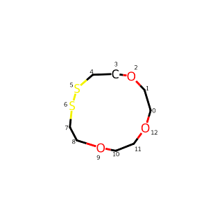 C1COCCSSCCOCCO1